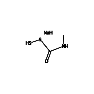 CNC(=O)SS.[NaH]